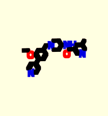 CCOc1cc(CN2CCC(NC(=O)c3cncc(C)c3)CC2)ccc1-c1ccncc1